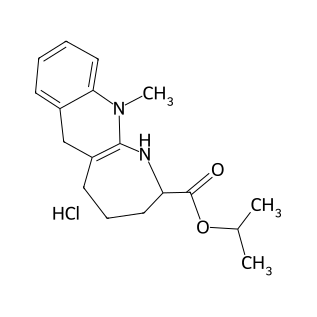 CC(C)OC(=O)C1CCCC2=C(N1)N(C)c1ccccc1C2.Cl